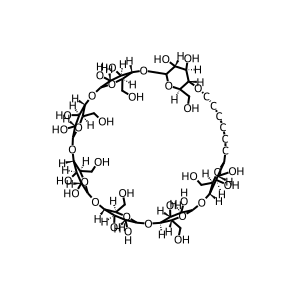 OC[C@H]1OC2CCCCCCO[C@H]3[C@H](O)[C@@H](O)C(O[C@H]4[C@H](O)[C@@H](O)C(O[C@H]5[C@H](O)[C@@H](O)C(O[C@H]6[C@H](O)[C@@H](O)C(O[C@H]7[C@H](O)[C@@H](O)C(O[C@H]8[C@H](O)[C@@H](O)C(O[C@H]1[C@H](O)[C@H]2O)O[C@@H]8CO)O[C@@H]7CO)O[C@@H]6CO)O[C@@H]5CO)O[C@@H]4CO)O[C@@H]3CO